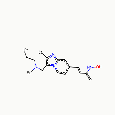 C=C(/C=C/c1ccn2c(CN(CC)CCC(C)C)c(CC)nc2c1)NO